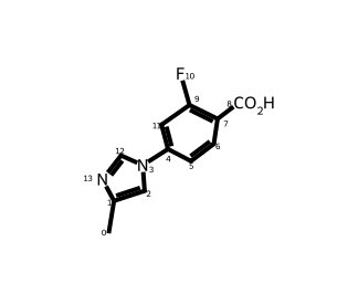 Cc1cn(-c2ccc(C(=O)O)c(F)c2)cn1